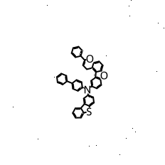 C1=C(c2ccccc2)Oc2ccc3oc4ccc(N(c5ccc(-c6ccccc6)cc5)c5ccc6sc7ccccc7c6c5)cc4c3c2C1